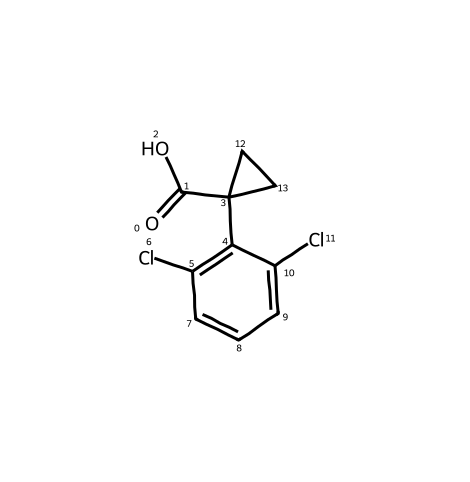 O=C(O)C1(c2c(Cl)cccc2Cl)CC1